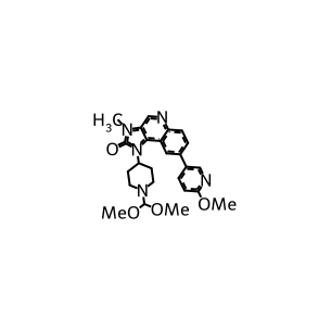 COc1ccc(-c2ccc3ncc4c(c3c2)n(C2CCN(C(OC)OC)CC2)c(=O)n4C)cn1